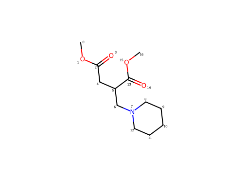 COC(=O)CC(CN1CCCCC1)C(=O)OC